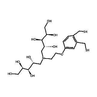 OC[C@@H](O)[C@H](O)[C@H](O)CN(CCOc1ccc(CS)c(CS)c1)C[C@@H](O)[C@@H](O)[C@H](O)CO